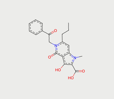 CCCc1cc2c(c(O)c(C(=O)O)n2C)c(=O)n1CC(=O)c1ccccc1